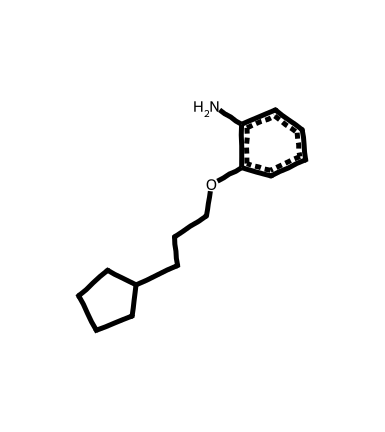 Nc1ccccc1OCCCC1CCCC1